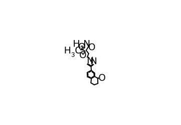 CS(=O)(=O)C(CCn1cc(-c2ccc3c(c2)C(=O)CCC3)cn1)C(N)=O